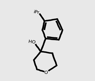 CC(C)c1cccc(C2(O)CCOCC2)c1